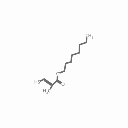 CCCCCCCCOC(=O)C(C)=CS